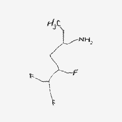 CC(N)CC(F)C(F)F